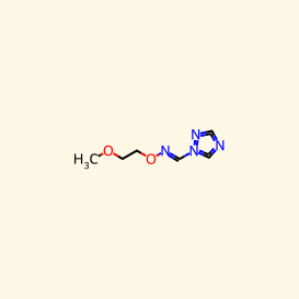 COCCON=Cn1cncn1